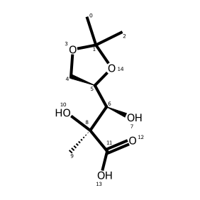 CC1(C)OC[C@H]([C@@H](O)[C@](C)(O)C(=O)O)O1